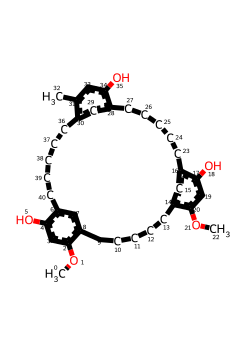 COc1cc(O)c2cc1CCCCCc1cc(c(O)cc1OC)CCCCCc1cc(c(C)cc1O)CCCCC2